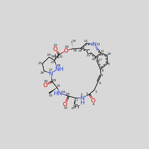 CC(C)[C@@H]1NC(=O)C/C=C/c2ccc3ncc(cc3c2)[C@@H](C)OC(=O)[C@@H]2CCCN(N2)C(=O)[C@H](C)NC1=O